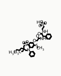 CCCCC1(CC)CN(c2ccccc2)c2cc(SC)c(OCC(=O)N[C@H](C(=O)NCCS(=O)(=O)O)c3ccccc3)cc2S(=O)(=O)C1